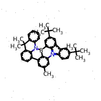 Cc1cc2c3c(c1)-n1c4ccc(C(C)(C)C)cc4c4cc(C(C)(C)C)cc(c41)B3N1c3ccccc3C(C)(C)c3cccc-2c31